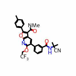 CNC(=O)c1c(-c2ccc(C)cc2)oc2nc(OCC(F)(F)F)c(-c3cccc(C(=O)NC(C)(C)C#N)c3)cc12